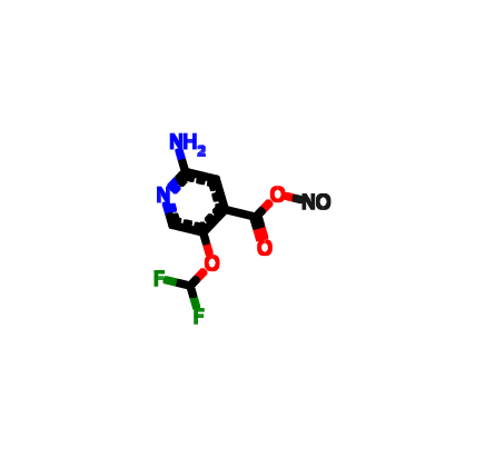 Nc1cc(C(=O)ON=O)c(OC(F)F)cn1